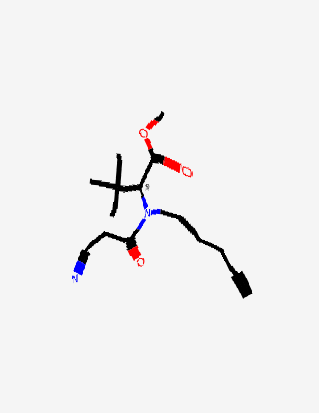 C#CCCCN(C(=O)CC#N)[C@H](C(=O)OC)C(C)(C)C